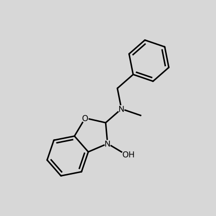 CN(Cc1ccccc1)C1Oc2ccccc2N1O